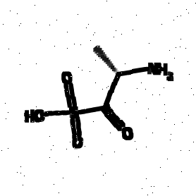 C[C@H](N)C(=O)S(=O)(=O)O